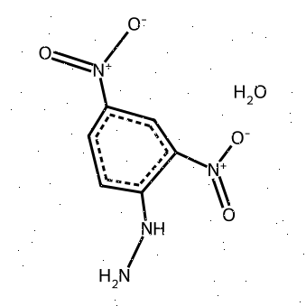 NNc1ccc([N+](=O)[O-])cc1[N+](=O)[O-].O